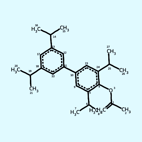 C=C(C)Oc1c(C(C)C)cc(-c2cc(C(C)C)cc(C(C)C)c2)cc1C(C)C